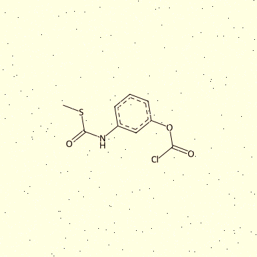 CSC(=O)Nc1cccc(OC(=O)Cl)c1